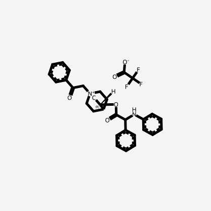 O=C(C[N+]12CCC(CC1)[C@@H](OC(=O)C(Nc1ccccc1)c1ccccc1)C2)c1ccccc1.O=C([O-])C(F)(F)F